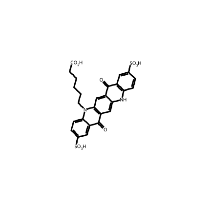 O=C(O)CCCCCn1c2ccc(S(=O)(=O)O)cc2c(=O)c2cc3[nH]c4ccc(S(=O)(=O)O)cc4c(=O)c3cc21